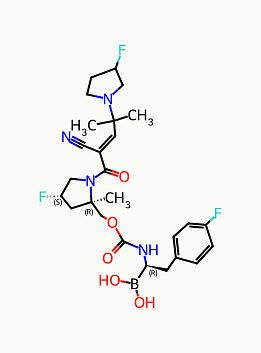 CC(C)(C=C(C#N)C(=O)N1C[C@@H](F)C[C@]1(C)COC(=O)N[C@@H](Cc1ccc(F)cc1)B(O)O)N1CCC(F)C1